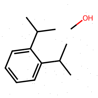 CC(C)c1ccccc1C(C)C.CO